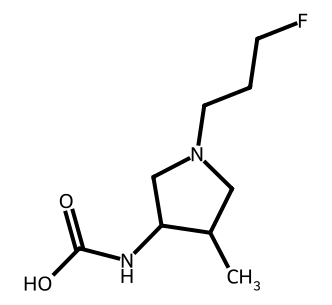 CC1CN(CCCF)CC1NC(=O)O